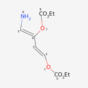 CCOC(=O)OC=CC(=CN)OC(=O)OCC